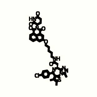 Cc1sc2c(c1C)C(c1ccc(Cl)cc1)=N[C@@H](CC(=O)NCCCCCOc1cc3c4c(cccc4c1)C(=O)N(C1CCC(=O)NC1=O)C3=O)c1nnc(C)n1-2